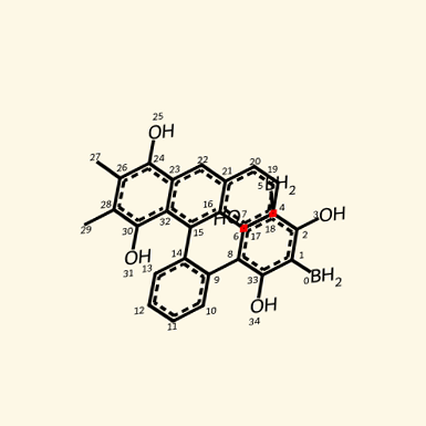 Bc1c(O)c(B)c(O)c(-c2ccccc2-c2c3ccccc3cc3c(O)c(C)c(C)c(O)c23)c1O